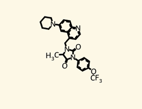 CC1C(=O)N(c2ccc(OC(F)(F)F)cc2)C(=O)N1Cc1ccnc2ccc(N3CCCCC3)cc12